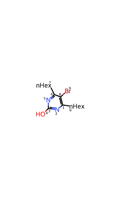 CCCCCCc1nc(O)nc(CCCCCC)c1Br